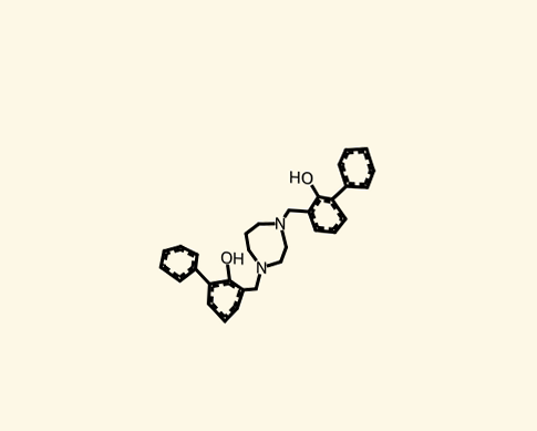 Oc1c(CN2CCCN(Cc3cccc(-c4ccccc4)c3O)CC2)cccc1-c1ccccc1